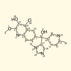 COc1nc2ccc(C(O)(c3ccc(C)nc3)c3cncn3C)cc2c(Cl)c1O